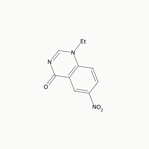 CCn1cnc(=O)c2cc([N+](=O)[O-])ccc21